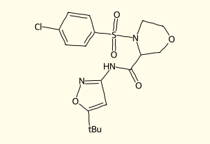 CC(C)(C)c1cc(NC(=O)C2COCCN2S(=O)(=O)c2ccc(Cl)cc2)no1